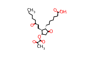 CCCCCC(=O)C=C[C@@H]1[C@@H](OC(=O)C(C)=O)CC(=O)[C@H]1CCCCCCC(=O)O